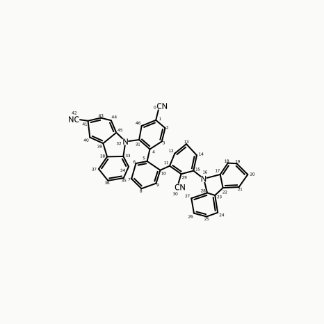 N#Cc1ccc(-c2ccccc2-c2cccc(-n3c4ccccc4c4ccccc43)c2C#N)c(-n2c3ccccc3c3cc(C#N)ccc32)c1